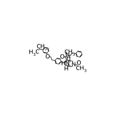 CC(=O)N1C[C@H]2CC(c3ccc(CCOc4cccc(C(C)C)c4)cc3)=C(C(=O)N(C)CCc3ccccc3)[C@@H](C1)N2